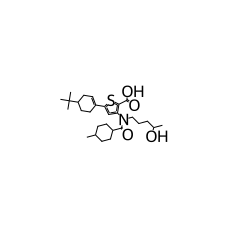 CC(O)CCCN(C(=O)C1CCC(C)CC1)c1cc(C2=CCC(C(C)(C)C)CC2)sc1C(=O)O